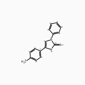 Cc1ccc(C2=CN(c3ccccc3)C(=S)[N]2)cc1